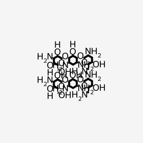 NC[C@H]1O[C@H](O[C@H]2[C@H](O)[C@@H](O[C@H]3O[C@H](CO)[C@@H](O)[C@H](N)[C@H]3O)[C@H](N)C[C@@H]2N)[C@H](N)C[C@@H]1O.NC[C@H]1O[C@H](O[C@H]2[C@H](O)[C@@H](O[C@H]3O[C@H](CO)[C@@H](O)[C@H](N)[C@H]3O)[C@H](N)C[C@@H]2N)[C@H](N)C[C@@H]1O